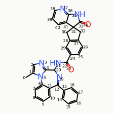 Cc1cnc2n1-c1ccccc1C(c1ccccc1)=NC2NC(=O)c1ccc2c(c1)CC1(C2)C(=O)Nc2ncccc21